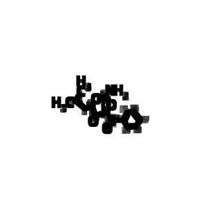 CC(C)CC(OC(N)=O)C(=O)N[S@+]([O-])c1ccccc1